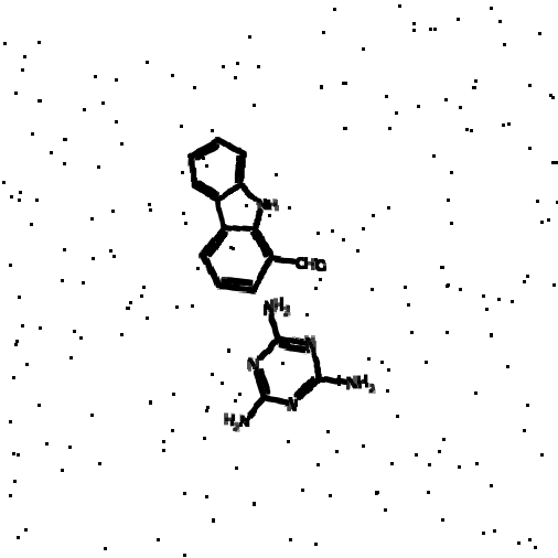 Nc1nc(N)nc(N)n1.O=Cc1cccc2c1[nH]c1ccccc12